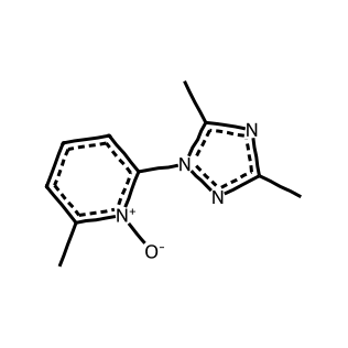 Cc1nc(C)n(-c2cccc(C)[n+]2[O-])n1